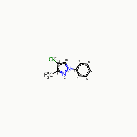 FC(F)(F)c1nn(-c2ccccc2)cc1Cl